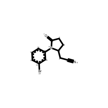 N#CCC1CCC(=O)N1c1cccc(Br)c1